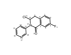 O=C1c2cc(F)ccc2CC(Cl)N1c1cccnc1